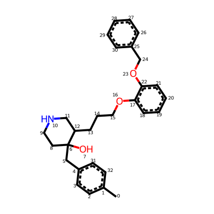 Cc1ccc(CC2(O)CCNCC2CCCOc2ccccc2OCc2ccccc2)cc1